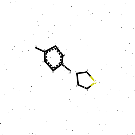 C1CCSC1.Cc1ccc(C)cc1